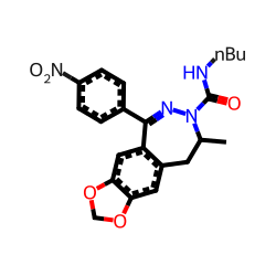 CCCCNC(=O)N1N=C(c2ccc([N+](=O)[O-])cc2)c2cc3c(cc2CC1C)OCO3